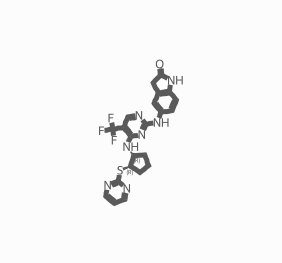 O=C1Cc2cc(Nc3ncc(C(F)(F)F)c(N[C@@H]4CCC[C@H]4Sc4ncccn4)n3)ccc2N1